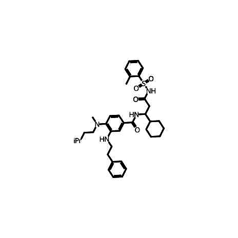 Cc1ccccc1S(=O)(=O)NC(=O)CC(NC(=O)c1ccc(N(C)CCC(C)C)c(NCCc2ccccc2)c1)C1CCCCC1